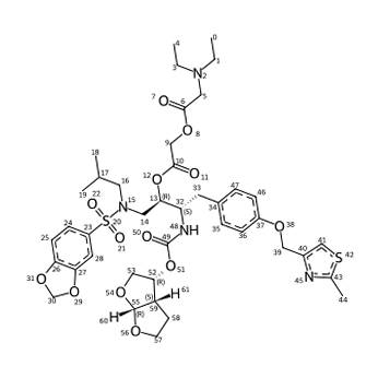 CCN(CC)CC(=O)OCC(=O)O[C@H](CN(CC(C)C)S(=O)(=O)c1ccc2c(c1)OCO2)[C@H](Cc1ccc(OCc2csc(C)n2)cc1)NC(=O)O[C@H]1CO[C@H]2OCC[C@H]21